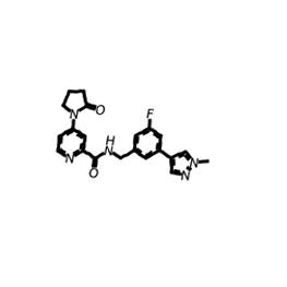 Cn1cc(-c2cc(F)cc(CNC(=O)c3cc(N4CCCC4=O)ccn3)c2)cn1